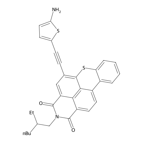 CCCCC(CC)Cn1c(=O)c2ccc3c4ccccc4sc4c(C#Cc5ccc(N)s5)cc(c1=O)c2c43